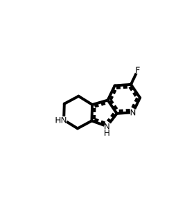 Fc1cnc2[nH]c3c(c2c1)CCNC3